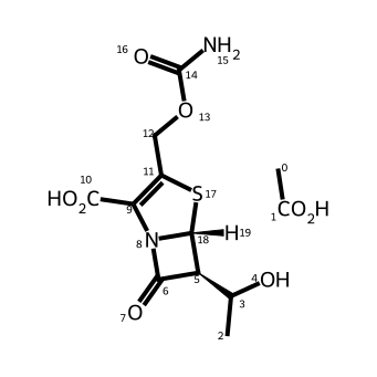 CC(=O)O.CC(O)[C@H]1C(=O)N2C(C(=O)O)=C(COC(N)=O)S[C@H]12